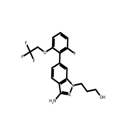 Nc1nn(CCCO)c2cc(-c3c(F)cccc3OCC(F)(F)F)ccc12